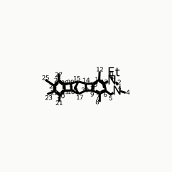 CCN1CN(C)Cc2c(C)c3c(c(C)c21)C1C2CC(C4c5c(C)c(C)c(C)c(C)c5C24)C31